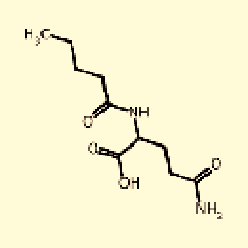 CCCCC(=O)NC(CCC(N)=O)C(=O)O